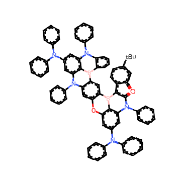 CC(C)(C)c1ccc2c3c(oc2c1)N(c1ccccc1)c1cc(N(c2ccccc2)c2ccccc2)cc2c1B3c1cc3c(cc1O2)N(c1ccccc1)c1cc(N(c2ccccc2)c2ccccc2)cc2c1B3c1ccccc1N2c1ccccc1